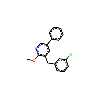 COc1ncc(-c2ccccc2)cc1Cc1cccc(Cl)c1